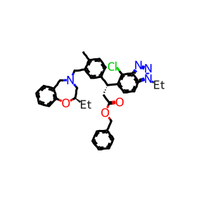 CC[C@@H]1CN(Cc2cc([C@@H](CC(=O)OCc3ccccc3)c3ccc4c(nnn4CC)c3Cl)ccc2C)Cc2ccccc2O1